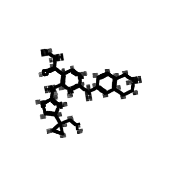 CCNC(=O)c1cnc(Nc2ccc3c(c2)CCNC3)nc1Nc1nc(C2(CF)CC2)cs1